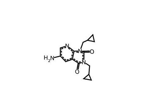 Nc1cnc2c(c1)c(=O)n(CC1CC1)c(=O)n2CC1CC1